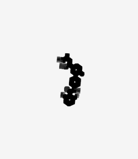 CC(=N)/C=C(\O)c1ccc(C)c(-c2ccc(NC(=O)c3c(F)cccc3F)cc2)c1